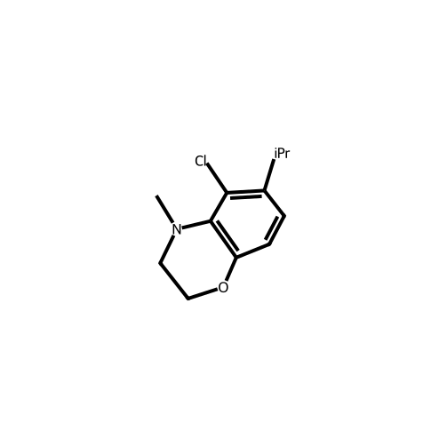 CC(C)c1ccc2c(c1Cl)N(C)CCO2